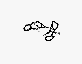 Nc1ccccc1CN1CC2C(C1)C2NC(=O)C(O)(c1ccccc1)C1CCCC1